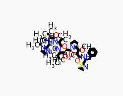 CC[C@H](C)[C@@H]([C@@H](CC(=O)N1CCC[C@H]1[C@H](OC)[C@@H](C)C(=O)N[C@@H](Cc1ccccc1)c1nccs1)OC)N(C)C(=O)[C@@H](NC(=O)[C@H](C(C)C)N(C)Cc1nccn1C(C)C)C(C)C